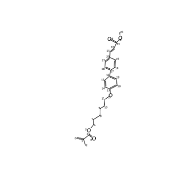 C=C(C)C(=O)OCCCCCCOc1ccc(-c2ccc(C=CC(=O)OC)cc2)cc1